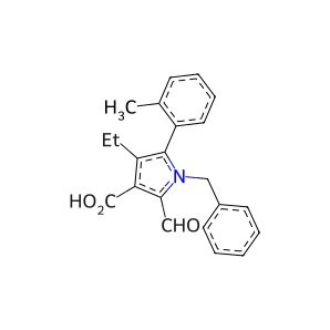 CCc1c(C(=O)O)c(C=O)n(Cc2ccccc2)c1-c1ccccc1C